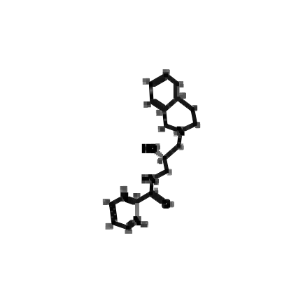 O=C(NC[C@H](O)CN1CCc2ccccc2C1)c1ncccn1